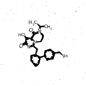 CC(C)N1CCn2c(Cc3ccccc3-c3ccc(CS)cc3)nc(=O)c(O)c2C1=O